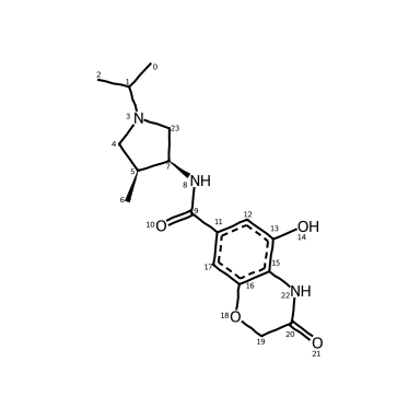 CC(C)N1C[C@H](C)[C@H](NC(=O)c2cc(O)c3c(c2)OCC(=O)N3)C1